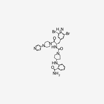 NC(=O)c1ccccc1NC1CCN(C(=O)N[C@H](Cc2cc(Br)c(N)c(Br)c2)C(=O)N2CCN(c3ccncc3)CC2)CC1